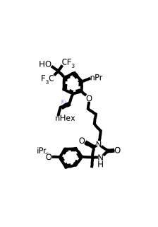 CCCCCC/C=C/c1cc(C(O)(C(F)(F)F)C(F)(F)F)cc(CCC)c1OCCCCN1C(=O)NC(C)(c2ccc(OC(C)C)cc2)C1=O